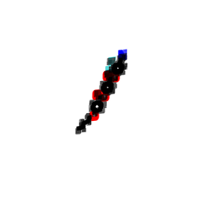 CCCCCO[C@H]1CC[C@H](C(=O)Oc2ccc(C(=O)Oc3ccc(C#N)c(F)c3F)cc2)CC1